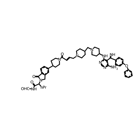 CCCC(C(=O)NC=O)N1Cc2cc(C3CCN(C(=O)/C=C/CN4CCC(CN5CCC(Nc6ncnc(N)c6C(=N)c6ccc(Oc7ccccc7)cc6)CC5)CC4)CC3)ccc2C1=O